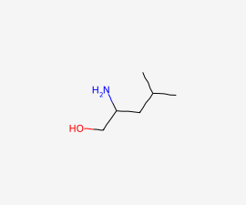 CC(C)CC(N)CO